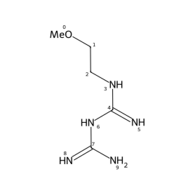 COCCNC(=N)NC(=N)N